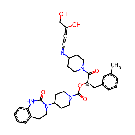 Cc1cccc(C[C@@H](OC(=O)N2CCC(N3CCc4ccccc4NC3=O)CC2)C(=O)N2CCC(N=C=C=C(O)CO)CC2)c1